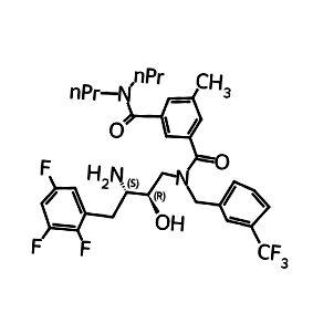 CCCN(CCC)C(=O)c1cc(C)cc(C(=O)N(Cc2cccc(C(F)(F)F)c2)C[C@@H](O)[C@@H](N)Cc2cc(F)cc(F)c2F)c1